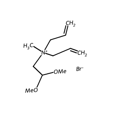 C=CC[N+](C)(CC=C)CC(OC)OC.[Br-]